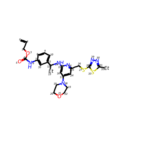 C=CCOC(=O)Nc1cccc(C(CC)Nc2cc(N3CCOCC3)cc(CSc3nnc(CC)s3)n2)c1